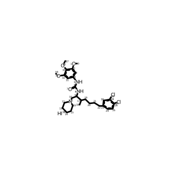 COc1cc(NC(=O)NC(CN2CCCCC2)C(C)CCCCc2ccc(Cl)c(Cl)c2)cc(OC)c1OC.I